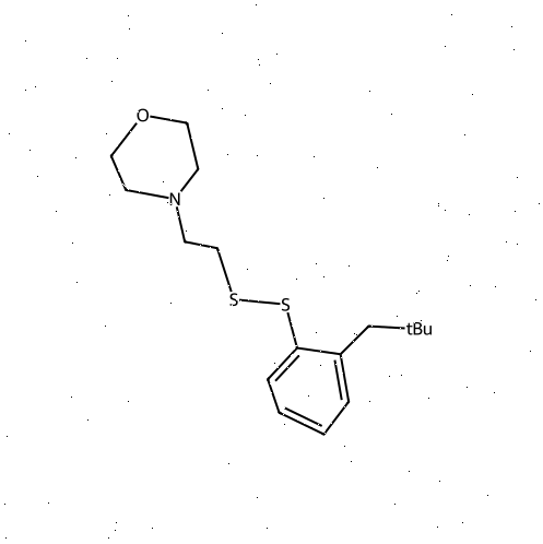 CC(C)(C)Cc1ccccc1SSCCN1CCOCC1